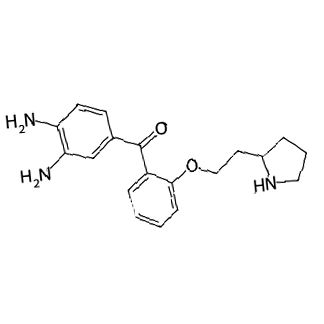 Nc1ccc(C(=O)c2ccccc2OCCC2CCCN2)cc1N